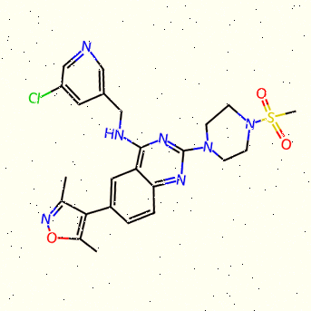 Cc1noc(C)c1-c1ccc2nc(N3CCN(S(C)(=O)=O)CC3)nc(NCc3cncc(Cl)c3)c2c1